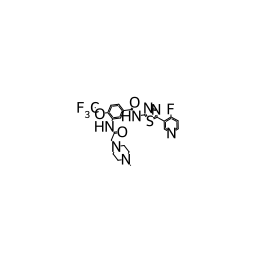 CN1CCN(CC(=O)Nc2cc(C(=O)Nc3nnc(-c4cnccc4F)s3)ccc2OC(F)(F)F)CC1